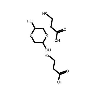 O=C(O)CCS.O=C(O)CCS.OC1CSC(O)CS1